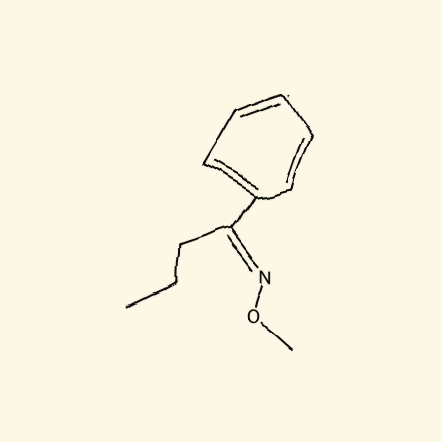 CCCC(=NOC)c1cc[c]cc1